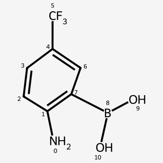 Nc1ccc(C(F)(F)F)cc1B(O)O